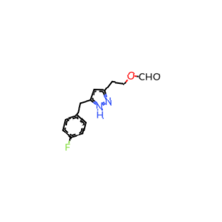 O=COCCc1cc(Cc2ccc(F)cc2)[nH]n1